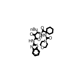 CCCC[C@H](NC(=O)C1(NC(=O)N2CCOCC2)CCCCC1)C(=O)C(=O)Nc1nc2ccccc2s1